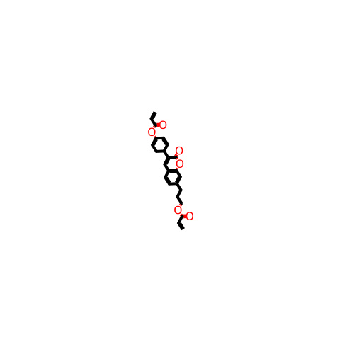 C=CC(=O)OCCCc1ccc2cc(C3C=CC(OC(=O)C=C)=CC3)c(=O)oc2c1